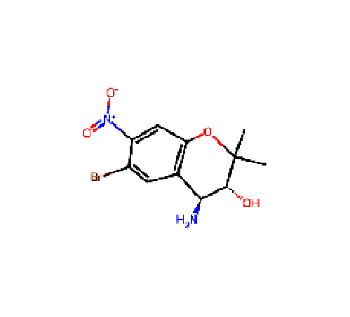 CC1(C)Oc2cc([N+](=O)[O-])c(Br)cc2[C@H](N)[C@H]1O